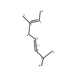 CC=C(C)C/[C]=C/C(C)C